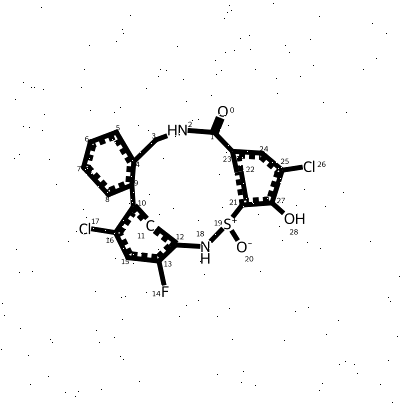 O=C1NCc2ccccc2-c2cc(c(F)cc2Cl)N[S+]([O-])c2cc1cc(Cl)c2O